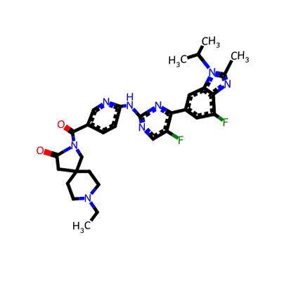 CCN1CCC2(CC1)CC(=O)N(C(=O)c1ccc(Nc3ncc(F)c(-c4cc(F)c5nc(C)n(C(C)C)c5c4)n3)nc1)C2